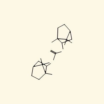 CC1(C)C2CCC1(C)C(OC(=O)OC1CC3CCC1(C)C3(C)C)C2